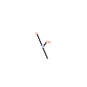 CCCCCCCCCCN(CCCCO)CCCCCCCCCC=O